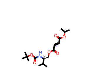 CC(C)OC(=O)/C=C/C(=O)OC[C@H](NC(=O)OC(C)(C)C)C(C)C